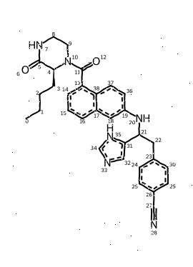 CCCC[C@H]1C(=O)NCCN1C(=O)c1cccc2cc(NC(Cc3ccc(C#N)cc3)c3cnc[nH]3)ccc12